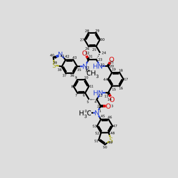 CN(C(=O)[C@H](Cc1ccccc1)NC(=O)c1cccc(C(=O)N[C@@H](Cc2ccccc2)C(=O)N(C)c2ccc3scnc3c2)c1)c1ccc2sccc2c1